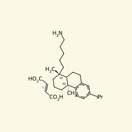 CC(C)c1ccc2c(c1)CCC1[C@@](C)(CCCCCN)CCC[C@]21C.O=C(O)/C=C/C(=O)O